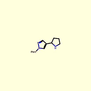 CCCC(C)n1cc(C2CCCN2)cn1